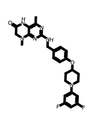 Cc1nc(NCc2ccc(OC3CCN(c4cc(F)cc(F)c4)CC3)cc2)nc2c1NC(=O)CN2C